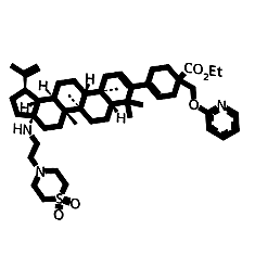 C=C(C)[C@@H]1CC[C@]2(NCCN3CCS(=O)(=O)CC3)CC[C@]3(C)[C@H](CC[C@@H]4[C@@]5(C)CC=C(C6=CCC(COc7ccccn7)(C(=O)OCC)CC6)C(C)(C)[C@@H]5CC[C@]43C)[C@@H]12